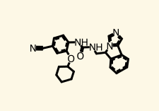 N#Cc1ccc(NC(=O)NCC2c3ccccc3-c3cncn32)c(OC2CCCCC2)c1